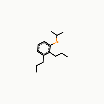 CCCc1cccc(PC(C)C)c1CCC